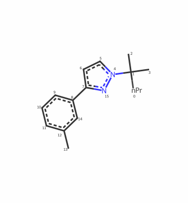 CCCC(C)(C)n1ccc(-c2cccc(C)c2)n1